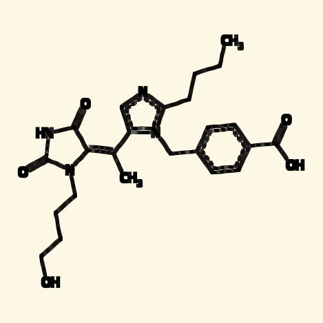 CCCCc1ncc(C(C)=C2C(=O)NC(=O)N2CCCCO)n1Cc1ccc(C(=O)O)cc1